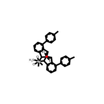 CCC1=Cc2c(-c3ccc(C)cc3)cccc2[CH]1[Zr]([CH3])([CH3])([SiH3])([Cl])([Cl])[CH]1C(CC)=Cc2c(-c3ccc(C)cc3)cccc21